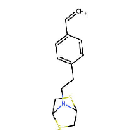 C=Cc1ccc(CCN2C3CSC2CS3)cc1